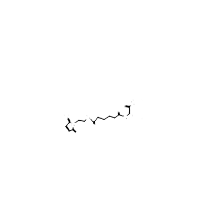 CNC(=O)[C@H](C)NC(=O)CCCCC(=O)NCCN1C(=O)C=CC1=O